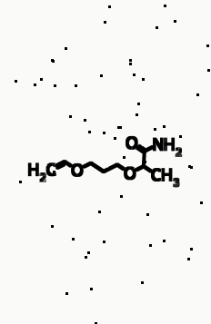 C=COCCCOC(C)C(N)=O